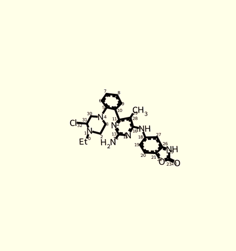 CCN1CCN(c2ccccc2-c2nc(N)nc(Nc3ccc4oc(=O)[nH]c4c3)c2C)CC1Cl